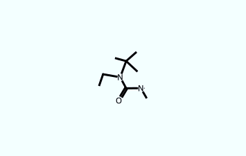 CCN(C(=O)[N]C)C(C)(C)C